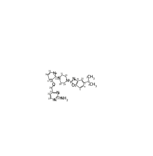 CC(C)c1ccc2oc(N3CCN(c4ncccc4OCc4ccnc(N)n4)CC3)nc2c1